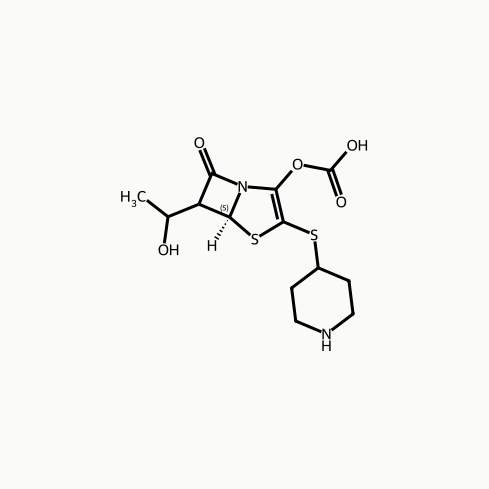 CC(O)C1C(=O)N2C(OC(=O)O)=C(SC3CCNCC3)S[C@@H]12